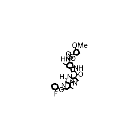 COc1cccc(S(=O)(=O)Nc2cc3[nH]c(C(=O)c4cnn(-c5cnc(Oc6ccccc6F)cc5C)c4N)cc3cc2C)c1